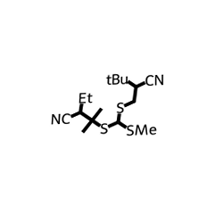 CCC(C#N)C(C)(C)SC(SC)SCC(C#N)C(C)(C)C